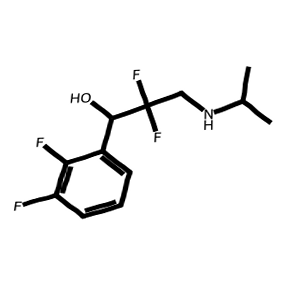 CC(C)NCC(F)(F)C(O)c1cccc(F)c1F